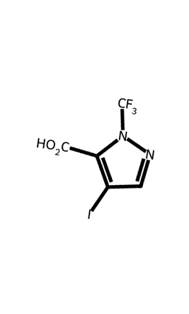 O=C(O)c1c(I)cnn1C(F)(F)F